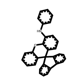 c1ccc(Nc2cccc3c2Oc2ccccc2C32c3ccccc3-c3ccccc32)cc1